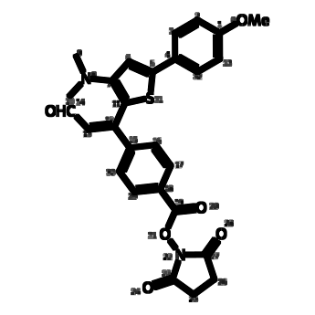 COc1ccc(-c2cc(N(C)C)c(/C(=C\C=O)c3ccc(C(=O)ON4C(=O)CCC4=O)cc3)s2)cc1